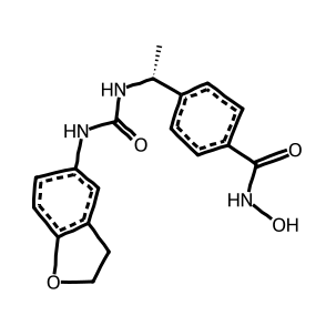 C[C@@H](NC(=O)Nc1ccc2c(c1)CCO2)c1ccc(C(=O)NO)cc1